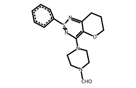 O=CN1CCN(C2=C3OCCCC3=NS(c3ccccc3)=N2)CC1